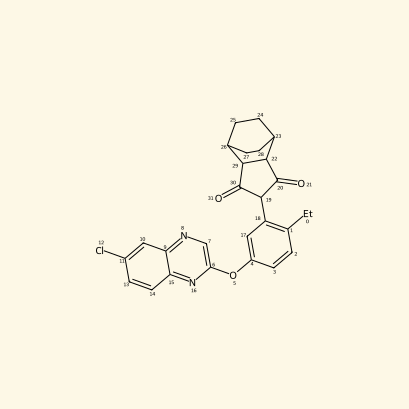 CCc1ccc(Oc2cnc3cc(Cl)ccc3n2)cc1C1C(=O)C2C3CCC(CC3)C2C1=O